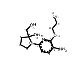 Nc1ccc(N2CCCC2(O)CO)nc1OCCO